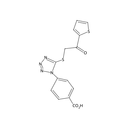 O=C(O)c1ccc(-n2nnnc2SCC(=O)c2cccs2)cc1